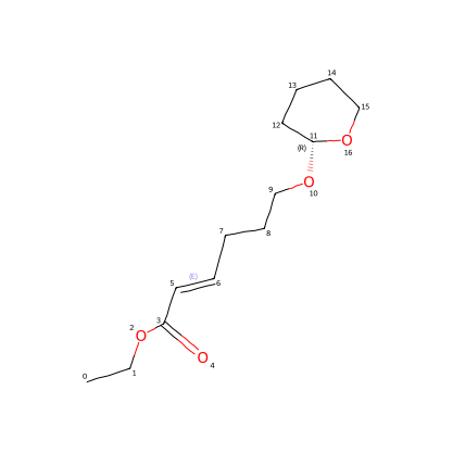 CCOC(=O)/C=C/CCCO[C@@H]1CCCCO1